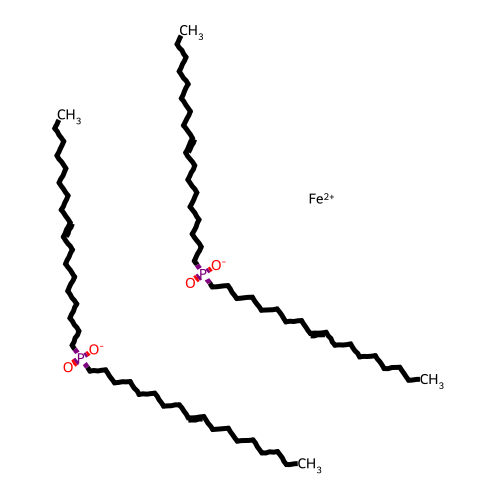 CCCCCCCCC=CCCCCCCCCP(=O)([O-])CCCCCCCCC=CCCCCCCCC.CCCCCCCCC=CCCCCCCCCP(=O)([O-])CCCCCCCCC=CCCCCCCCC.[Fe+2]